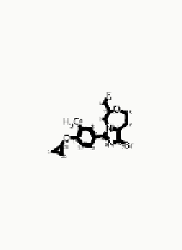 Cc1cc(-c2nc(Br)c3n2CC(CF)OCC3)ccc1OC1CC1